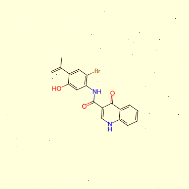 C=C(C)c1cc(Br)c(NC(=O)c2c[nH]c3ccccc3c2=O)cc1O